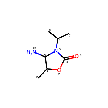 CC1OC(=O)N(C(C)C)C1N